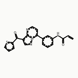 C=CC(=O)Nc1cccc(-c2ccnc3c(C(=O)c4cccs4)cnn23)c1